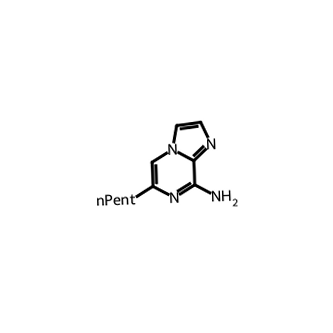 CCCCCc1cn2ccnc2c(N)n1